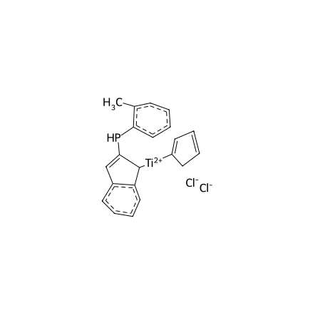 Cc1ccccc1PC1=Cc2ccccc2[CH]1[Ti+2][C]1=CC=CC1.[Cl-].[Cl-]